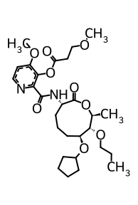 CCCO[C@H]1[C@H](C)OC(=O)[C@@H](NC(=O)c2nccc(OC)c2OC(=O)CCOC)CCC[C@@H]1OC1CCCC1